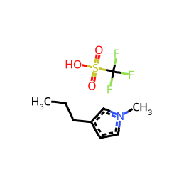 CCCc1ccn(C)c1.O=S(=O)(O)C(F)(F)F